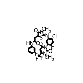 CN1C(=O)C(CC(=O)Nc2ccccc2)SC1=Nc1cc(-n2c(=O)cc(C(F)(F)F)n(C)c2=O)c(F)cc1Cl